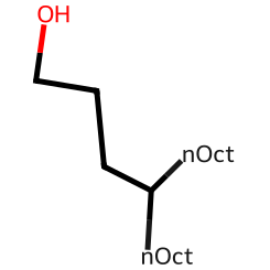 CCCCCCCCC(CCCO)CCCCCCCC